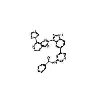 O=C(Nc1cncc(-c2ccc3[nH]nc(-c4nc5c(-c6ccsc6)nccc5[nH]4)c3c2)c1)c1ccccc1